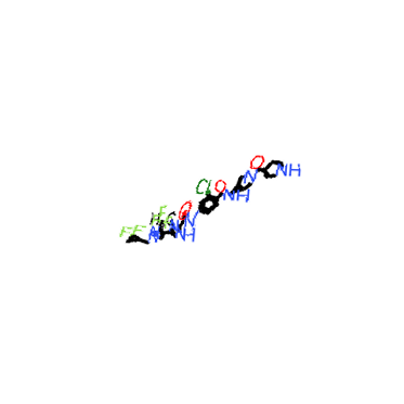 Cn1c(-c2cn(CC3CC3(F)F)nc2C(F)(F)F)cnc1C(=O)Nc1ccc(C(=O)NC2C3CN(C(=O)C4CCNCC4)CC32)c(Cl)c1